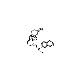 CC[C@H](CC[C@@H]1CCC=C2C=C3CC[C@@H](O)C[C@]34CC[C@@]21O4)c1ccc2ccncc2c1